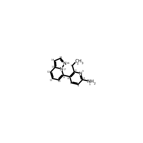 CCc1nc(N)ccc1-c1cccc2ccnn12